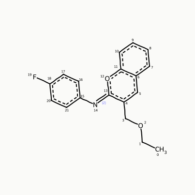 CCOCc1cc2ccccc2o/c1=N\c1ccc(F)cc1